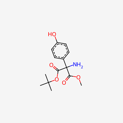 COC(=O)C(N)(C(=O)OC(C)(C)C)c1ccc(O)cc1